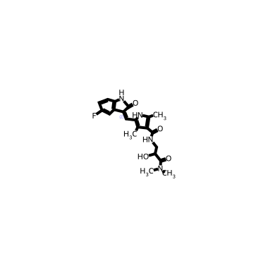 Cc1[nH]c(/C=C2\C(=O)Nc3ccc(F)cc32)c(C)c1C(=O)NCC(O)C(=O)N(C)C